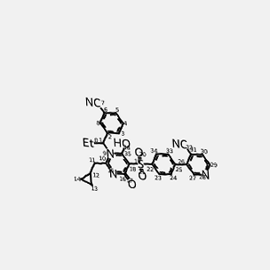 CCC(c1cccc(C#N)c1)n1c(CC2CC2)nc(=O)c(S(=O)(=O)c2ccc(-c3cnccc3C#N)cc2)c1O